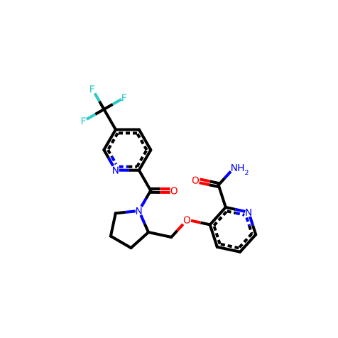 NC(=O)c1ncccc1OCC1CCCN1C(=O)c1ccc(C(F)(F)F)cn1